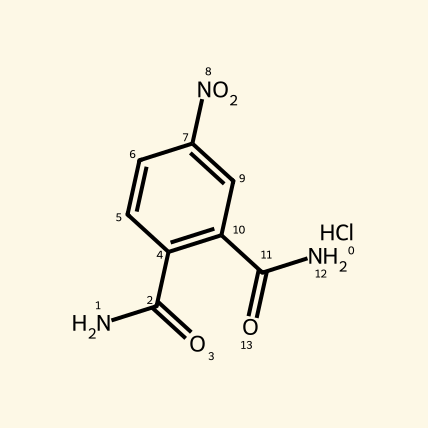 Cl.NC(=O)c1ccc([N+](=O)[O-])cc1C(N)=O